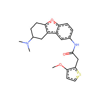 COc1ccsc1CC(=O)Nc1ccc2oc3c(c2c1)CC(N(C)C)CC3